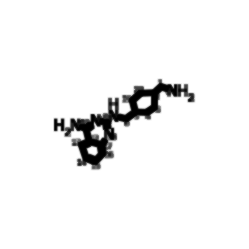 NCC1CCC(CNc2nc(N)c3ccccc3n2)CC1